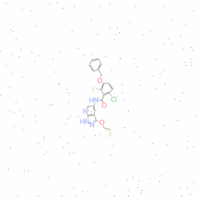 O=C(Nc1cnc2[nH]nc(OCCF)c2c1)c1c(Cl)ccc(OCc2ccccc2)c1F